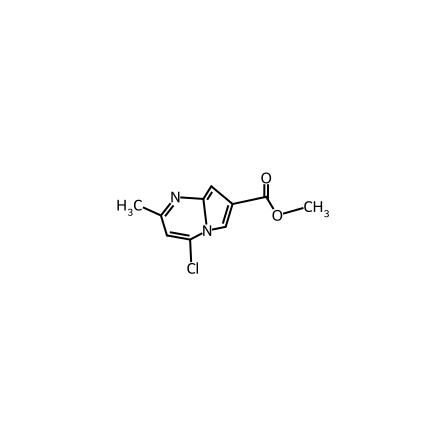 COC(=O)c1cc2nc(C)cc(Cl)n2c1